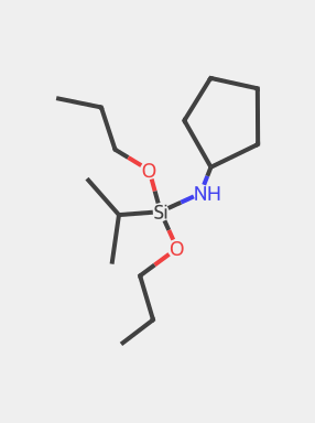 CCCO[Si](NC1CCCC1)(OCCC)C(C)C